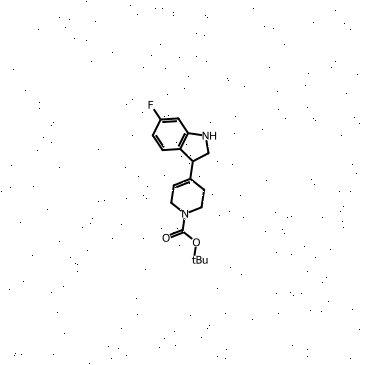 CC(C)(C)OC(=O)N1CC=C(C2CNc3cc(F)ccc32)CC1